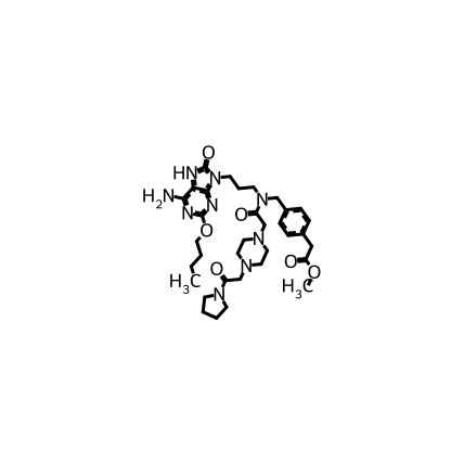 CCCCOc1nc(N)c2[nH]c(=O)n(CCCN(Cc3ccc(CC(=O)OC)cc3)C(=O)CN3CCN(CC(=O)N4CCCC4)CC3)c2n1